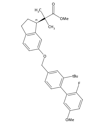 COC(=O)C(C)(C)[C@@H]1CCc2ccc(OCc3ccc(-c4cc(OC)ccc4F)c(C(C)(C)C)c3)cc21